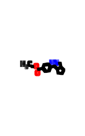 CCOC(=O)c1ccc(C2NCC3CCCC32)cc1